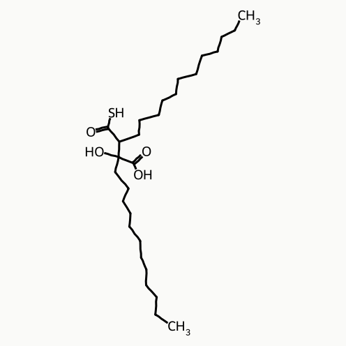 CCCCCCCCCCCCC(C(=O)S)C(O)(CCCCCCCCCCCC)C(=O)O